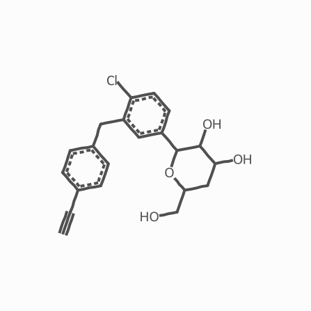 C#Cc1ccc(Cc2cc(C3OC(CO)CC(O)C3O)ccc2Cl)cc1